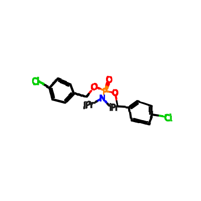 CC(C)N(C(C)C)P(=O)(OCc1ccc(Cl)cc1)OCc1ccc(Cl)cc1